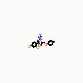 Cc1ccc(OCC2COC(Cn3cncn3)(c3ccc(Cl)cc3Cl)O2)cc1